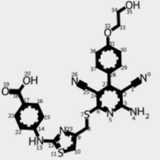 N#Cc1c(N)nc(SCc2csc(Nc3ccc(C(=O)O)cc3)n2)c(C#N)c1-c1ccc(OCCO)cc1